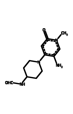 Cn1cc(N)c(N2CCC(NC=O)CC2)cc1=O